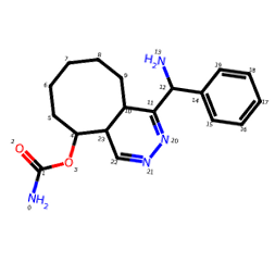 NC(=O)OC1CCCCCC2C(C(N)c3ccccc3)=NN=CC12